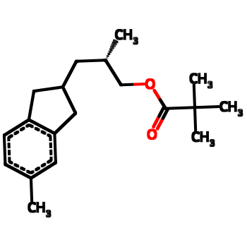 Cc1ccc2c(c1)CC(C[C@H](C)COC(=O)C(C)(C)C)C2